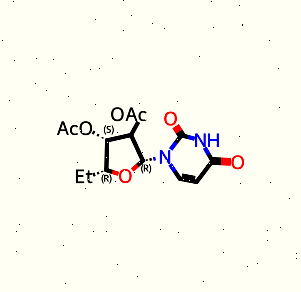 CC[C@H]1O[C@@H](n2ccc(=O)[nH]c2=O)C(OC(C)=O)[C@H]1OC(C)=O